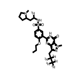 [2H]C(CC1CCCN1C)NS(=O)(=O)c1ccc(OCCC)c(-c2nc3c(CC([2H])([2H])C([2H])([2H])[2H])nn(C)c3c(=O)[nH]2)c1